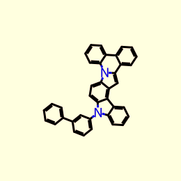 c1ccc(-c2cccc(-n3c4ccccc4c4c5cc6c7ccccc7c7ccccc7n6c5ccc43)c2)cc1